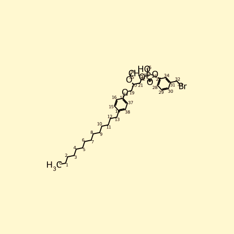 CCCCCCCCCCCCCCc1ccc(OCC(COP(=O)(O)Oc2cccc(CBr)c2)OC)cc1